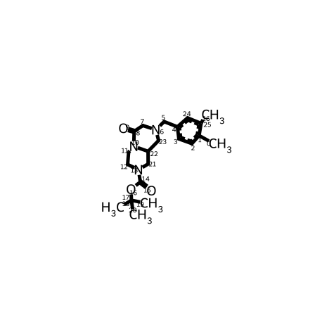 Cc1ccc(CN2CC(=O)N3CCN(C(=O)OC(C)(C)C)CC3C2)cc1C